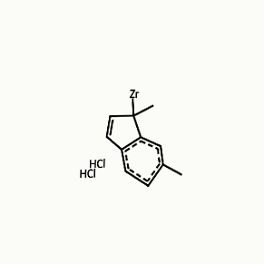 Cc1ccc2c(c1)[C](C)([Zr])C=C2.Cl.Cl